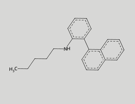 CCCCCNc1ccccc1-c1cccc2ccccc12